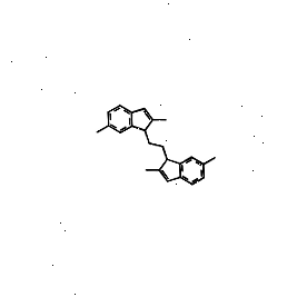 CC1=Cc2ccc(C)cc2C1CCC1C(C)=Cc2ccc(C)cc21